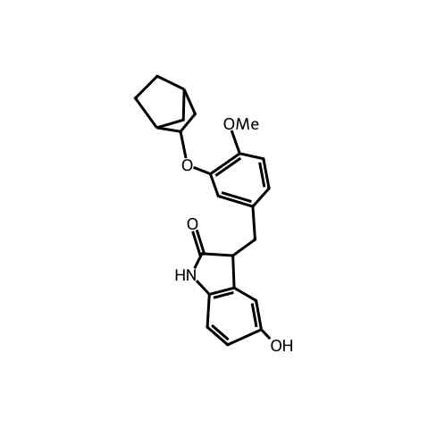 COc1ccc(CC2C(=O)Nc3ccc(O)cc32)cc1OC1CC2CCC1C2